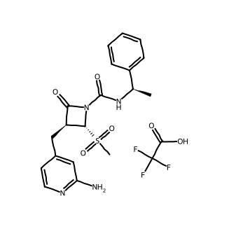 C[C@@H](NC(=O)N1C(=O)[C@H](Cc2ccnc(N)c2)[C@H]1S(C)(=O)=O)c1ccccc1.O=C(O)C(F)(F)F